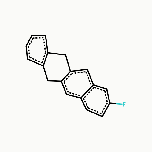 Fc1ccc2cc3c(cc2c1)Cc1ccccc1C3